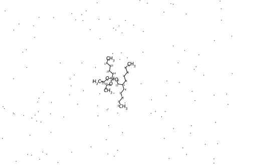 CCCCCC(CCCCC)CO[Si](CCCCC)(OCC)OCC